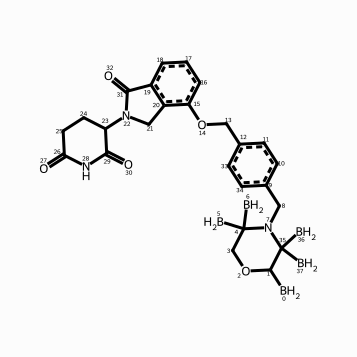 BC1OCC(B)(B)N(Cc2ccc(COc3cccc4c3CN(C3CCC(=O)NC3=O)C4=O)cc2)C1(B)B